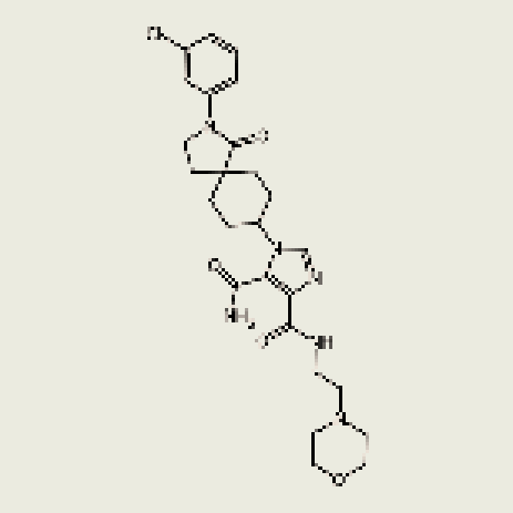 NC(=O)c1c(C(=O)NCCN2CCOCC2)ncn1C1CCC2(CC1)CCN(c1cccc(Cl)c1)C2=O